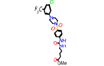 COC(=O)CCCCNC(=O)Nc1ccc(S(=O)(=O)N2CCN(c3cc(Cl)cc(C(F)(F)F)c3)CC2)cc1